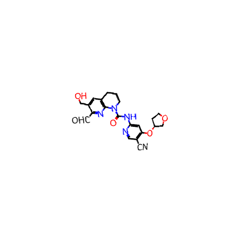 N#Cc1cnc(NC(=O)N2CCCc3cc(CO)c(C=O)nc32)cc1O[C@H]1CCOC1